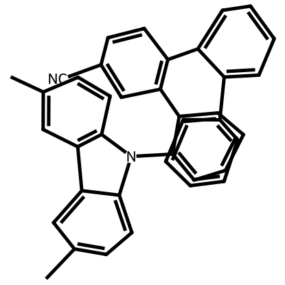 Cc1ccc2c(c1)c1cc(C)ccc1n2-c1ccccc1-c1cc(C#N)ccc1-c1ccccc1-c1ccccc1